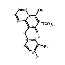 CCOC(=O)c1c(O)n2ccccc2c(Cc2ccc(F)c(F)c2)c1=O